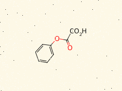 O=C(O)C(=O)Oc1ccccc1